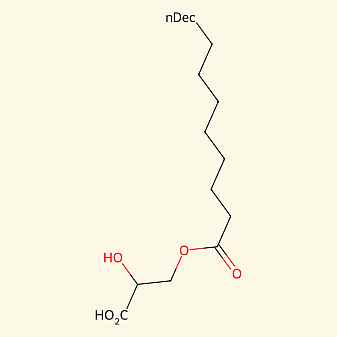 CCCCCCCCCCCCCCCCCC(=O)OCC(O)C(=O)O